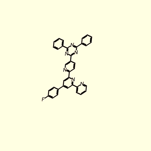 Fc1ccc(-c2cc(-c3ccccn3)nc(-c3ccc(-c4nc(-c5ccccc5)nc(-c5ccccc5)n4)cn3)c2)cc1